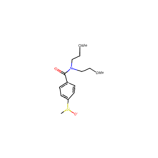 COCCN(CCOC)C(=O)c1ccc([S+](C)[O-])cc1